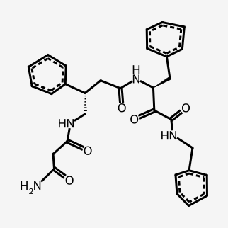 NC(=O)CC(=O)NC[C@@H](CC(=O)N[C@@H](Cc1ccccc1)C(=O)C(=O)NCc1ccccc1)c1ccccc1